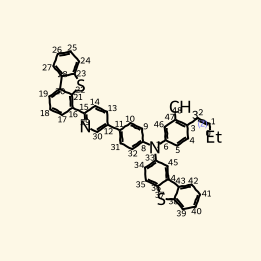 CC/C=C\c1ccc(N(c2ccc(-c3ccc(-c4cccc5c4sc4ccccc45)nc3)cc2)c2ccc3sc4ccccc4c3c2)cc1C